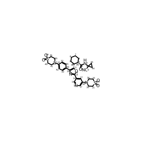 N#CC1(NC(=O)[C@@H]2CCCC[C@H]2c2oc(-c3cncc(N4CCS(=O)(=O)CC4)c3)nc2-c2ccc(N3CCS(=O)(=O)CC3)cc2)CC1